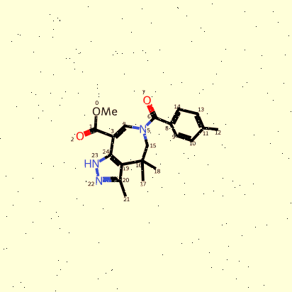 COC(=O)C1=CN(C(=O)c2ccc(C)cc2)CC(C)(C)c2c(C)n[nH]c21